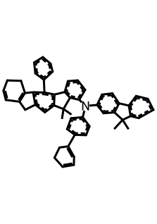 CC1(C)c2ccccc2-c2ccc(N(c3ccc(C4=CC=CCC4)cc3)c3cccc4c3C(C)(C)c3cc5c(c(-c6ccccc6)c3-4)C3=C(C=CCC3)C5)cc21